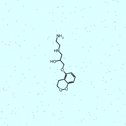 NCCNCC(O)COc1cccc2c1CCOO2